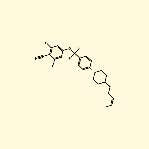 C/C=C\CC[C@H]1CC[C@H](c2ccc(C(F)(F)Oc3cc(F)c(C#N)c(F)c3)cc2)CC1